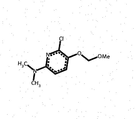 COCOc1ccc(N(C)C)nc1Cl